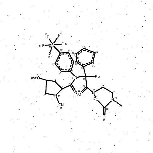 COC1CC(C(=O)N(c2ccc(S(F)(F)(F)(F)F)cc2)C(F)(C(=O)N2CCN(C)C(=O)C2)c2cnccn2)N(C#N)C1